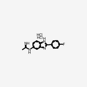 CC(=N)Nc1ccc2[nH]c(-c3ccc(F)cc3)nc2c1.Cl.Cl